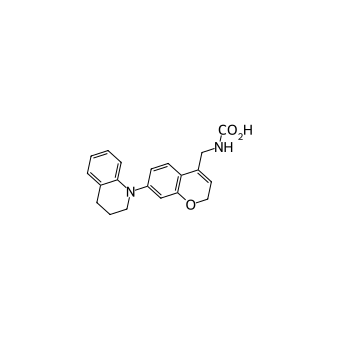 O=C(O)NCC1=CCOc2cc(N3CCCc4ccccc43)ccc21